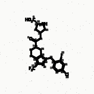 O=C(O)[C@H]1CC(CC(=O)N2CCc3c(C(F)(F)F)nn(Cc4ccc(Cl)cc4F)c3C2)CN1